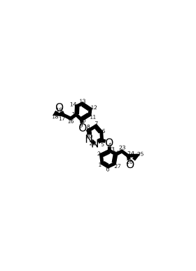 c1ccc(Oc2ccc(Oc3ccccc3CC3CO3)nn2)c(CC2CO2)c1